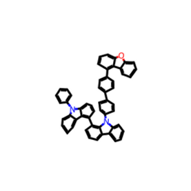 c1ccc(-n2c3ccccc3c3c(-c4cccc5c6ccccc6n(-c6ccc(-c7ccc(-c8cccc9oc%10ccccc%10c89)cc7)cc6)c45)cccc32)cc1